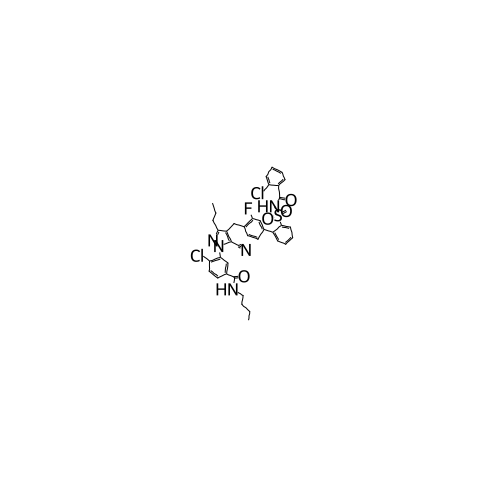 CCCCNC(=O)c1ccc(Cl)c(-n2nc(CCC)c(Cc3ccc(-c4ccccc4S(=O)(=O)NC(=O)c4ccccc4Cl)cc3F)c2C#N)c1